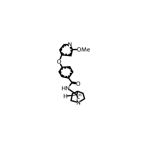 COc1cc(Oc2ccc(C(=O)N[C@H]3CN4CCC3CC4)cc2)ccn1